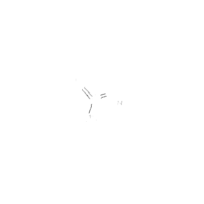 N.O=[SH](=O)P